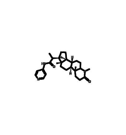 CC(C(=O)Nc1ccncc1)[C@H]1CC[C@H]2[C@@H]3CCC4N(C)C(=O)CC[C@]4(C)[C@H]3CC[C@]12C